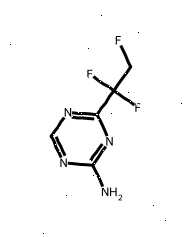 Nc1ncnc(C(F)(F)CF)n1